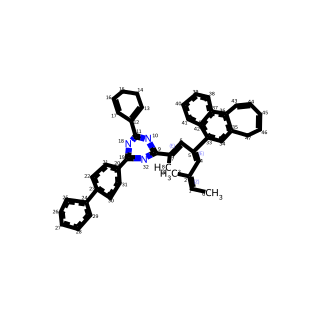 C\C=C(C)/C=C(\C=C(/C)c1nc(C2=CCCC=C2)nc(-c2ccc(-c3ccccc3)cc2)n1)c1cc2c(c3ccccc13)C=CC=CC2